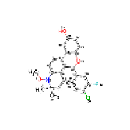 CON1c2ccc3c(c2C(C)=CC1(C)C)C(c1ccc(Cl)c(F)c1)Oc1ccc(O)cc1-3